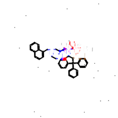 COC(=O)C1CN(Cc2cccc3ccccc23)CCN1CC(NC(=O)OC(C)(C)C)C(S)C(c1ccccc1)(c1ccccc1)c1ccccc1